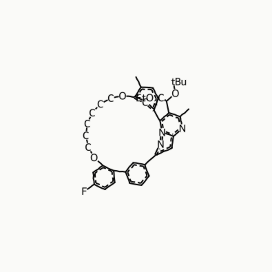 CCOC(=O)[C@@H](OC(C)(C)C)c1c(C)nc2cc3nn2c1-c1ccc(C)c(c1)OCCCCCCOc1cc(F)ccc1-c1cccc-3c1